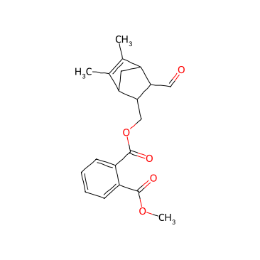 COC(=O)c1ccccc1C(=O)OCC1C2CC(C(C)=C2C)C1C=O